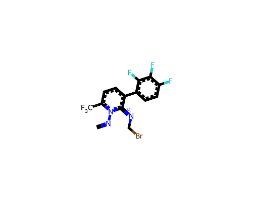 C=Nn1c(C(F)(F)F)ccc(-c2ccc(F)c(F)c2F)/c1=N/CBr